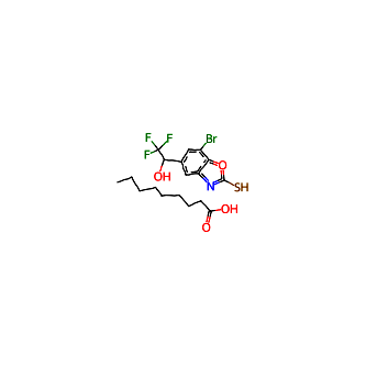 CCCCCCCCC(=O)O.OC(c1cc(Br)c2oc(S)nc2c1)C(F)(F)F